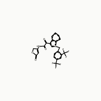 O=C1C=C(NC(=O)C(=O)c2cn(Cc3ccc(C(F)(F)F)cc3C(F)(F)F)c3ccccc23)CO1